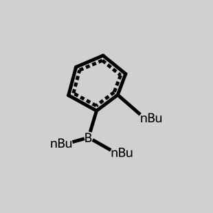 CCCCB(CCCC)c1ccccc1CCCC